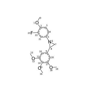 COc1ccc(N2CC2c2cc(OC)c(OC)c(OC)c2)cc1F